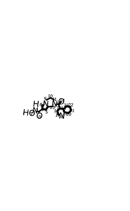 O=C(NO)c1cc2n(c1)CCCN(C(=O)c1ccnc3ccccc13)C2